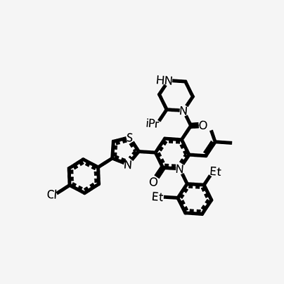 CCc1cccc(CC)c1-n1c(C=C(C)C)c(C(=O)N2CCNCC2C(C)C)cc(-c2nc(-c3ccc(Cl)cc3)cs2)c1=O